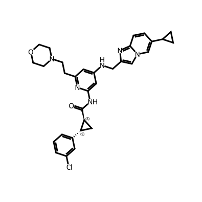 O=C(Nc1cc(NCc2cn3cc(C4CC4)ccc3n2)cc(CCN2CCOCC2)n1)[C@H]1C[C@@H]1c1cccc(Cl)c1